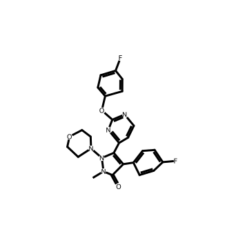 Cn1c(=O)c(-c2ccc(F)cc2)c(-c2ccnc(Oc3ccc(F)cc3)n2)n1N1CCOCC1